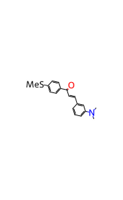 CSc1ccc(C(=O)C=Cc2cccc(N(C)C)c2)cc1